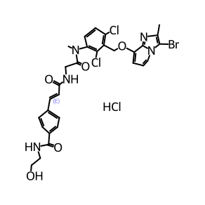 Cc1nc2c(OCc3c(Cl)ccc(N(C)C(=O)CNC(=O)/C=C/c4ccc(C(=O)NCCO)cc4)c3Cl)cccn2c1Br.Cl